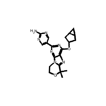 CC1(C)OCCn2c1nc1c(OC3CC4CC4C3)nc(-c3cnc(N)nc3)nc12